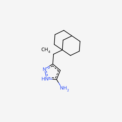 C.Nc1cc(CC23CCCC(CCC2)C3)n[nH]1